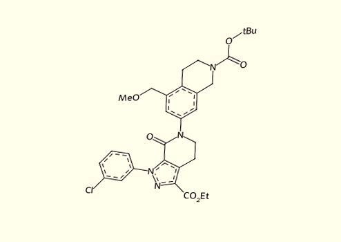 CCOC(=O)c1nn(-c2cccc(Cl)c2)c2c1CCN(c1cc(COC)c3c(c1)CN(C(=O)OC(C)(C)C)CC3)C2=O